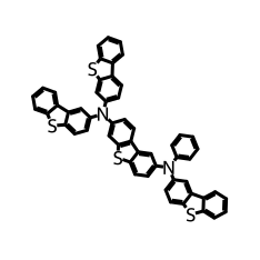 c1ccc(N(c2ccc3sc4ccccc4c3c2)c2ccc3sc4cc(N(c5ccc6c(c5)sc5ccccc56)c5ccc6sc7ccccc7c6c5)ccc4c3c2)cc1